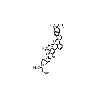 COCC(C)N1CCn2nc(Nc3cc(-c4ccnc(-n5ccn6c7c(cc6c5=O)CC(C)(C)C7)c4CO)cn(C)c3=O)cc2C1